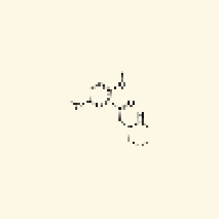 COc1ccc(OC)c(C(=O)CC2CCCCN2)c1